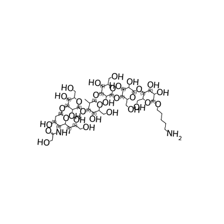 CC1[C@H](O[C@@H]2C(O)[C@@H](O[C@H]3C(CO)O[C@@H](O[C@@H]4C(CO)O[C@@H](OCCCCCN)C(O)[C@H]4O)C(O)[C@H]3O)OC(CO)[C@@H]2O)OC(CO)[C@H](O)[C@@H]1O[C@@H]1OC(CO)[C@H](O)[C@H](O[C@@H]2C[C@@H](O)[C@@H](NC(=O)CO)C([C@H](C)[C@H](O)CO)O2)C1O